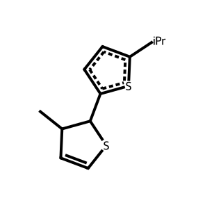 CC(C)c1ccc(C2SC=CC2C)s1